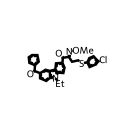 CCn1c2ccc(C(=O)/C(CCSc3ccc(Cl)cc3)=N/OC)cc2c2cc(C(=O)c3ccccc3)ccc21